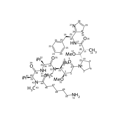 CC[C@H](C)[C@@H]([C@@H](CC(=O)N1CCC[C@H]1C(OC)[C@@H](C)C(=O)N[C@@H](Cc1ccccc1)c1nccs1)OC)N(C)C(=O)[C@@H](NC(=O)[C@H](C(C)C)N(C)C(=O)CCCCCN)C(C)C